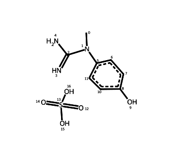 CN(C(=N)N)c1ccc(O)cc1.O=S(=O)(O)O